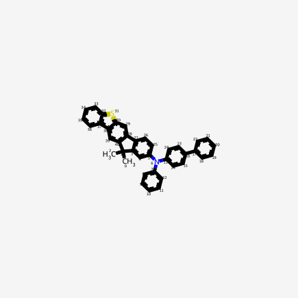 CC1(C)c2cc(N(c3ccccc3)c3ccc(-c4ccccc4)cc3)ccc2-c2cc3sc4ccccc4c3cc21